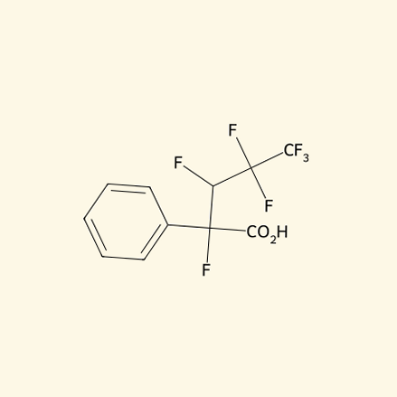 O=C(O)C(F)(c1ccccc1)C(F)C(F)(F)C(F)(F)F